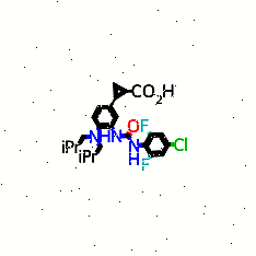 CC(C)CN(CC(C)C)c1ccc([C@H]2C[C@H]2C(=O)O)cc1NC(=O)Nc1c(F)cc(Cl)cc1F